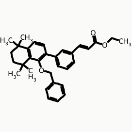 CCOC(=O)C=Cc1cccc(-c2ccc3c(c2OCc2ccccc2)C(C)(C)CCC3(C)C)c1